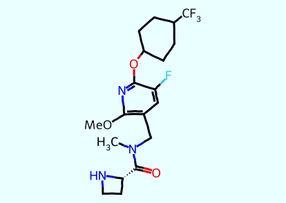 COc1nc(OC2CCC(C(F)(F)F)CC2)c(F)cc1CN(C)C(=O)[C@@H]1CCN1